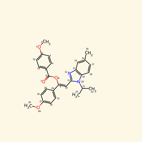 COc1ccc(C(=O)O/C(=C\c2nc3cc(C)ccc3n2C(C)C)c2ccc(OC)cc2)cc1